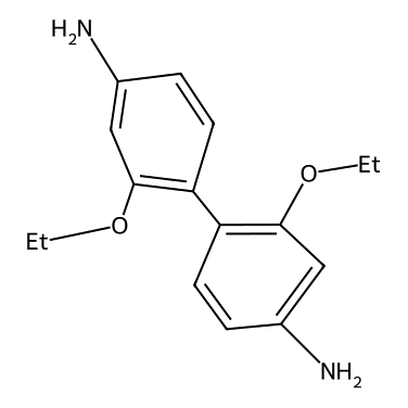 CCOc1cc(N)ccc1-c1ccc(N)cc1OCC